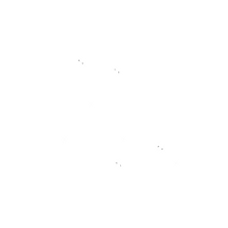 COC(=O)C(C#N)c1cnc(C)nc1C1CCN(C(=O)O)CC1